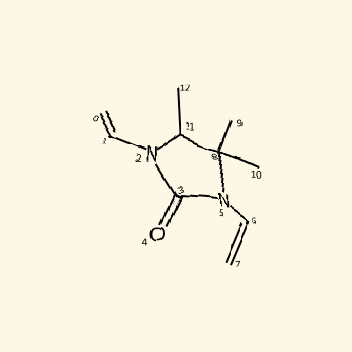 C=CN1C(=O)N(C=C)C(C)(C)C1C